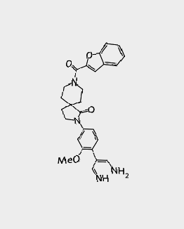 COc1cc(N2CCC3(CCN(C(=O)c4cc5ccccc5o4)CC3)C2=O)ccc1/C(C=N)=C/N